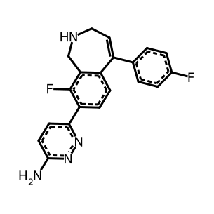 Nc1ccc(-c2ccc3c(c2F)CNCC=C3c2ccc(F)cc2)nn1